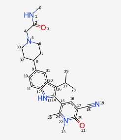 CNC(=O)CN1CCC(c2ccc3[nH]c(-c4cc(C#N)c(=O)n(C)c4C)c(C(C)C)c3c2)CC1